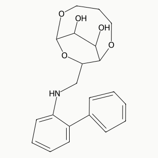 OC1C2OCCCOC(C(CNc3ccccc3-c3ccccc3)O2)C1O